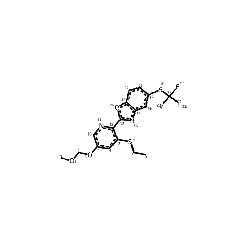 CCSc1cc(OCOC)cnc1-c1nc2cc(SC(F)(F)F)ccc2o1